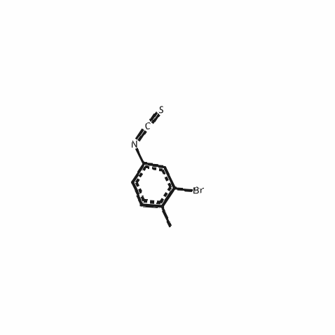 Cc1ccc(N=C=S)cc1Br